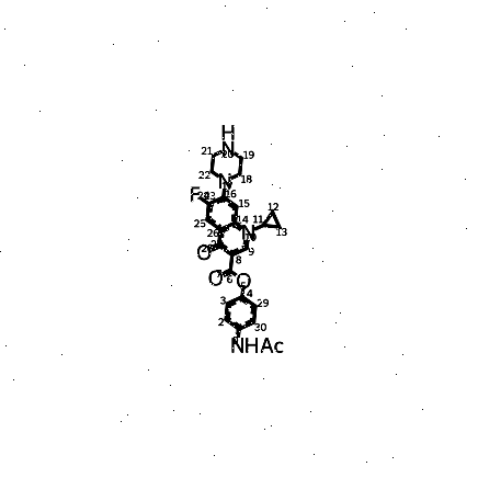 CC(=O)Nc1ccc(OC(=O)c2cn(C3CC3)c3cc(N4CCNCC4)c(F)cc3c2=O)cc1